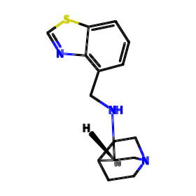 c1cc(CN[C@@H]2CN3CCC2CC3)c2ncsc2c1